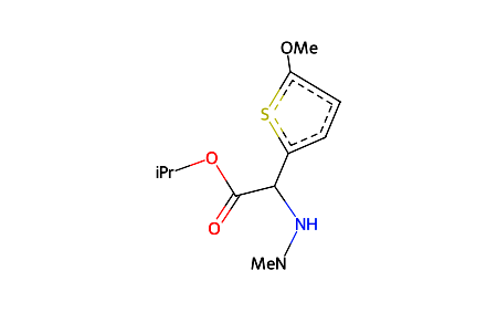 CNNC(C(=O)OC(C)C)c1ccc(OC)s1